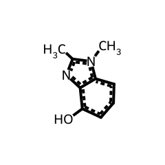 Cc1nc2c(O)cccc2n1C